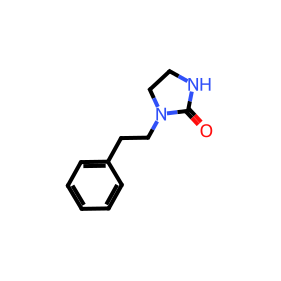 O=C1NCCN1CCc1ccccc1